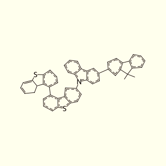 CC1(C)c2ccccc2-c2ccc(-c3ccc4c(c3)c3ccccc3n4-c3ccc4sc5cccc(-c6cccc7c6C6CC=CC=C6S7)c5c4c3)cc21